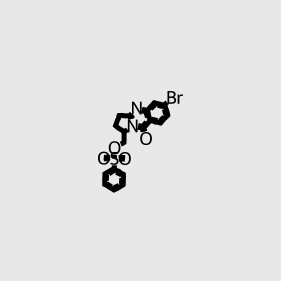 O=c1c2ccc(Br)cc2nc2n1C(COS(=O)(=O)c1ccccc1)CC2